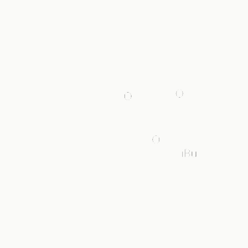 CCC(C)OC(=O)OC1CCCCC1